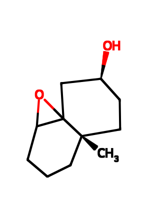 C[C@@]12CCCC3OC31C[C@@H](O)CC2